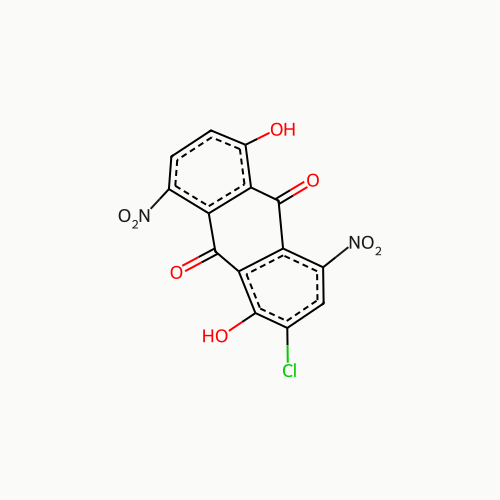 O=C1c2c(O)ccc([N+](=O)[O-])c2C(=O)c2c(O)c(Cl)cc([N+](=O)[O-])c21